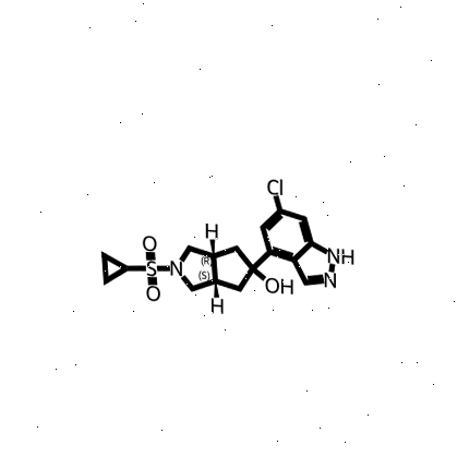 O=S(=O)(C1CC1)N1C[C@@H]2CC(O)(c3cc(Cl)cc4[nH]ncc34)C[C@@H]2C1